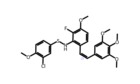 COc1ccc(SNc2c(/C=C\c3cc(OC)c(OC)c(OC)c3)ccc(OC)c2F)cc1Cl